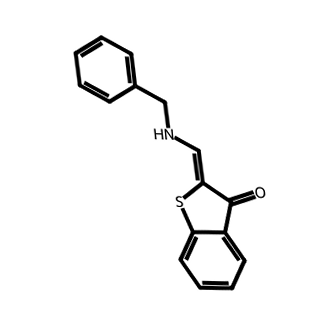 O=C1C(=CNCc2ccccc2)Sc2ccccc21